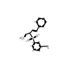 C=CC(C=Cc1ccccc1)S(=O)(=O)c1cccc(Br)c1